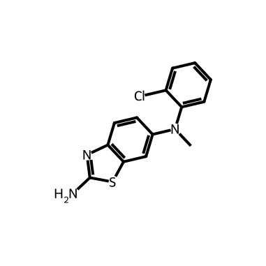 CN(c1ccc2nc(N)sc2c1)c1ccccc1Cl